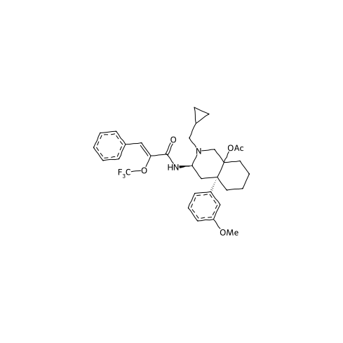 COc1cccc([C@@]23CCCCC2(OC(C)=O)CN(CC2CC2)[C@H](NC(=O)C(=Cc2ccccc2)OC(F)(F)F)C3)c1